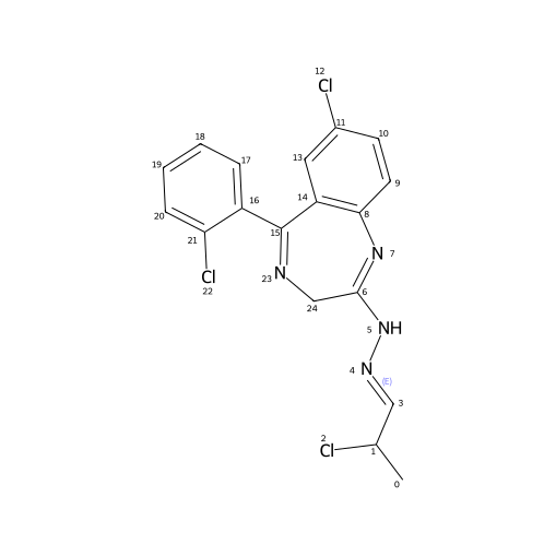 CC(Cl)/C=N/NC1=Nc2ccc(Cl)cc2C(c2ccccc2Cl)=NC1